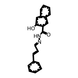 O=C(N/N=C/C=C/c1ccccc1)c1cc2ccccc2cc1O